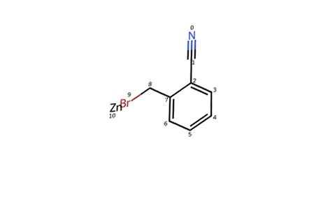 N#Cc1ccccc1CBr.[Zn]